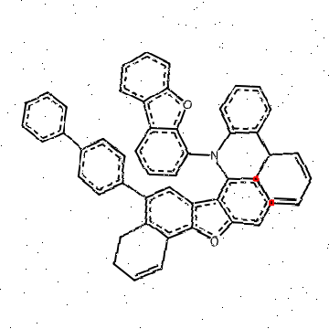 C1=CCC(c2ccccc2N(c2cccc3c2oc2ccccc23)c2cccc3oc4c5c(c(-c6ccc(-c7ccccc7)cc6)cc4c23)CCC=C5)C=C1